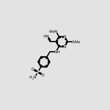 CNc1nc(SC)nc(NCc2ccc(S(N)(=O)=O)cc2)c1C=N